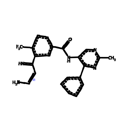 Cc1ncc(NC(=O)c2ccc(C(F)(F)F)c(C(=N)/C=C\N)c2)c(-c2ccccc2)n1